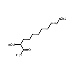 CCCCCCCCC=CCCCCCCC(CCCCCCCC)C(N)=O